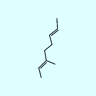 C/[C]=C(\C)CCC=CC